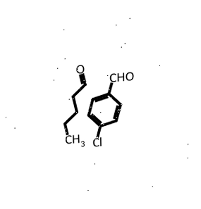 CCCCC=O.O=Cc1ccc(Cl)cc1